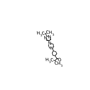 CC(C)C(=O)C1CCC(N2CCN(c3cnc(C(C)C)nc3)CC2)CC1